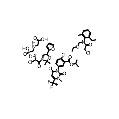 CC(C)OC(=O)c1cc(-n2c(=O)cc(C(F)(F)F)n(C)c2=O)ccc1Cl.CC1(C)OC(c2ccco2)CN1C(=O)C(Cl)Cl.CCOCN(C(=O)CCl)c1c(C)cccc1CC.O=C(O)CNCP(=O)(O)O